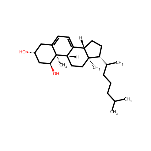 CC(C)CCCC(C)[C@H]1CC[C@H]2C3=CC=C4C[C@@H](O)C[C@H](O)[C@]4(C)[C@H]3CC[C@]12C